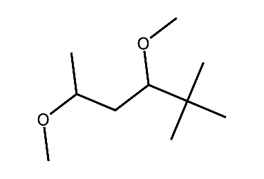 COC(C)CC(OC)C(C)(C)C